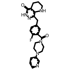 O=C(c1cc(Cc2n[nH]c(=O)c3c2NCCC3)ccc1F)N1CCN(c2cccnc2)CC1